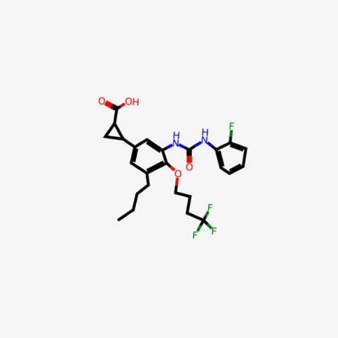 CCCCc1cc(C2CC2C(=O)O)cc(NC(=O)Nc2ccccc2F)c1OCCCC(F)(F)F